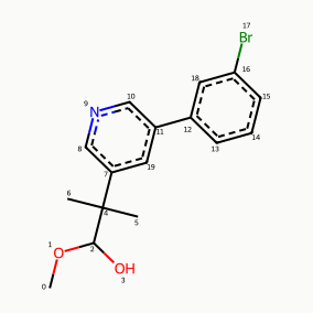 COC(O)C(C)(C)c1cncc(-c2cccc(Br)c2)c1